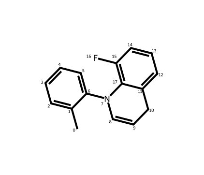 Cc1ccccc1N1C=CCc2cccc(F)c21